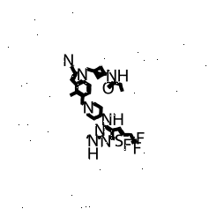 CCC(=O)NC12CC(Cn3c(C#N)cc4c(C)c(CN5CCC(Nc6nc(NC)nc7sc(CC(F)(F)F)cc67)CC5)ccc43)(C1)C2